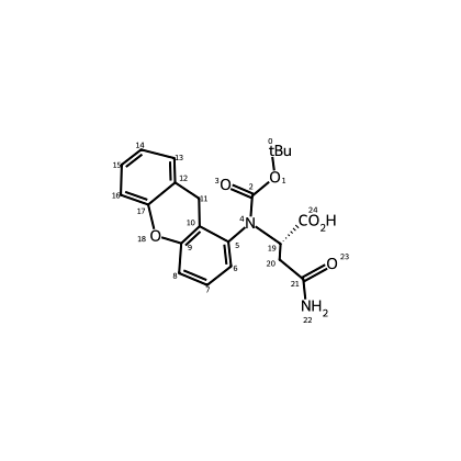 CC(C)(C)OC(=O)N(c1cccc2c1Cc1ccccc1O2)[C@@H](CC(N)=O)C(=O)O